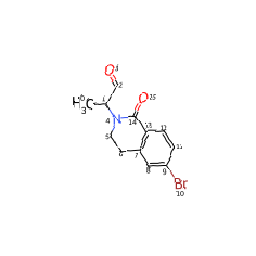 CC(C=O)N1CCc2cc(Br)ccc2C1=O